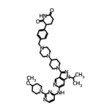 COC1CCN(c2nccc(Nc3cc4c(cn3)c(N3CCC(N5CCN(Cc6ccc(C7CCC(=O)NC7=O)cc6)CC5)CC3)nn4C(C)C)n2)CC1